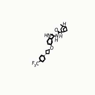 C[C@H]1C[C@@H](C(=O)Nc2c[nH]c3ccc(O[C@H]4C[C@@H](c5ccc(C(F)(F)F)cc5)C4)cc23)C2CC1C2